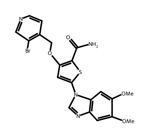 COc1cc2ncn(-c3cc(OCc4ccncc4Br)c(C(N)=O)s3)c2cc1OC